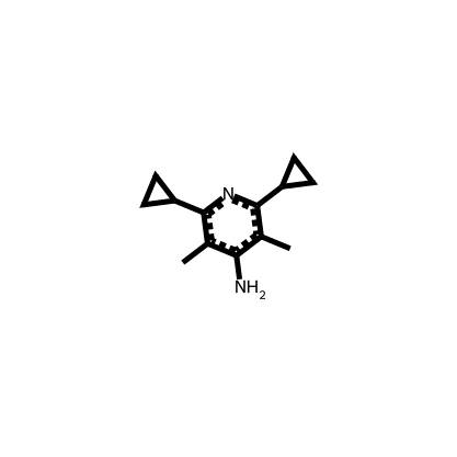 Cc1c(C2CC2)nc(C2CC2)c(C)c1N